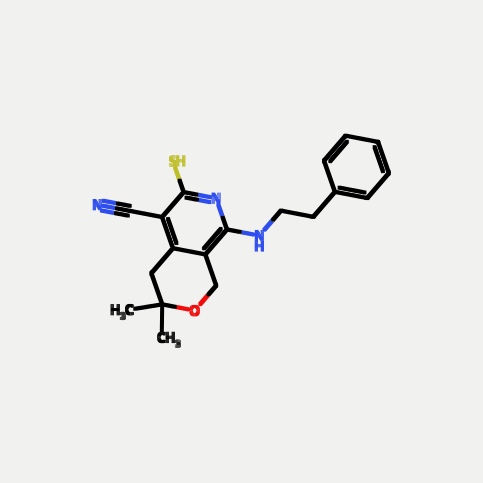 CC1(C)Cc2c(C#N)c(S)nc(NCCc3ccccc3)c2CO1